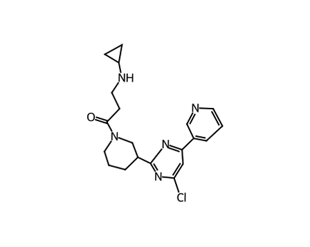 O=C(CCNC1CC1)N1CCCC(c2nc(Cl)cc(-c3cccnc3)n2)C1